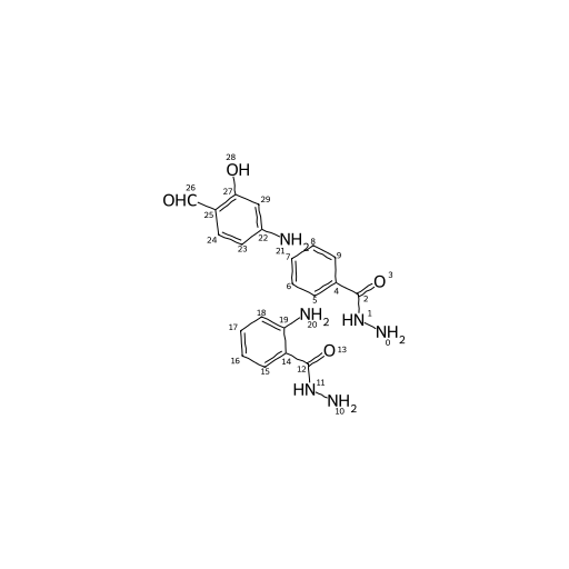 NNC(=O)c1ccccc1.NNC(=O)c1ccccc1N.Nc1ccc(C=O)c(O)c1